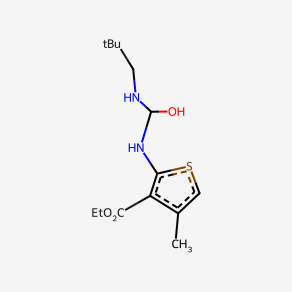 CCOC(=O)c1c(C)csc1NC(O)NCC(C)(C)C